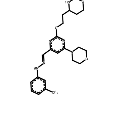 Cc1cccc(N/N=C/c2cc(N3CCOCC3)nc(OCCC3CCOCN3)n2)c1